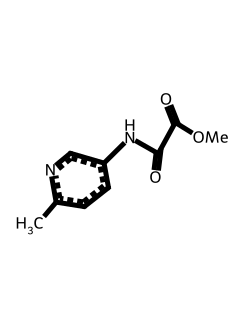 COC(=O)C(=O)Nc1ccc(C)nc1